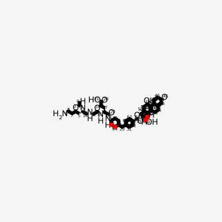 CC(=O)N[C@@H](CCCCN)CNCC(=O)N[C@@H](CCC(=O)O)C(=O)NC12CCC(Cc3ccc([C@@H]4O[C@@H]5C[C@H]6[C@@H]7CCC8=CC(=O)C=C[C@]8(C)[C@H]7[C@@H](O)C[C@]6(C)[C@]5(C(=O)CO)O4)cc3)(CC1)CC2